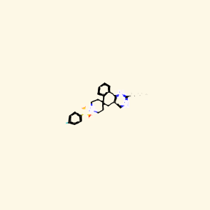 CNc1ncc2c(n1)-c1ccccc1C1(CCN(S(=O)(=O)c3ccc(F)cc3)CC1)C2